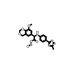 COc1cc(C(Nc2ccc(-c3noc(C)n3)cc2)C(=O)ON=O)cc2c1OCOC2